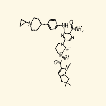 C[C@@H]1[C@H](NC(=O)c2cc3c(n2C)CC(C)(C)C3)CCCN1c1cnc(C(N)=O)c(Nc2ccc(C3CCN(C4CC4)CC3)cc2)n1